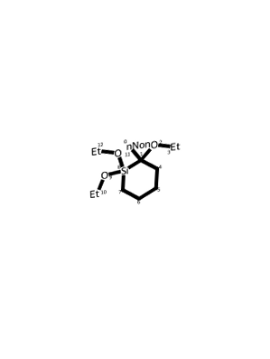 CCCCCCCCCC1(OCC)CCCC[Si]1(OCC)OCC